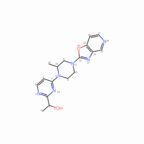 CC(O)c1nccc(N2CCN(c3nc4cnccc4o3)CC2C)n1